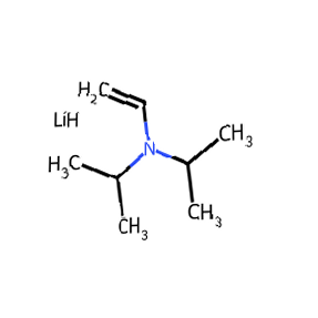 C=CN(C(C)C)C(C)C.[LiH]